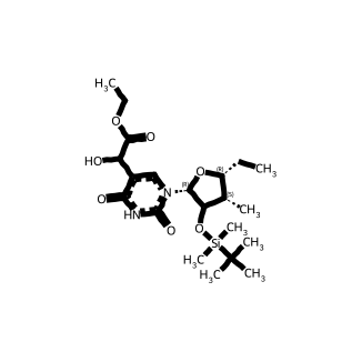 CCOC(=O)C(O)c1cn([C@@H]2O[C@H](CC)[C@H](C)C2O[Si](C)(C)C(C)(C)C)c(=O)[nH]c1=O